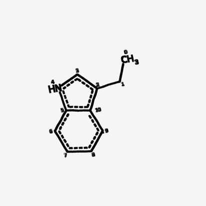 CCc1c[nH]c2ccc[c]c12